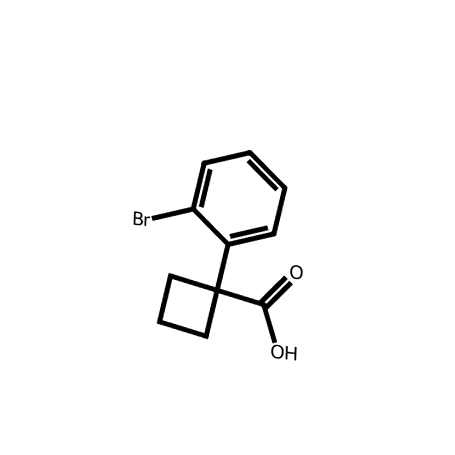 O=C(O)C1(c2ccccc2Br)CCC1